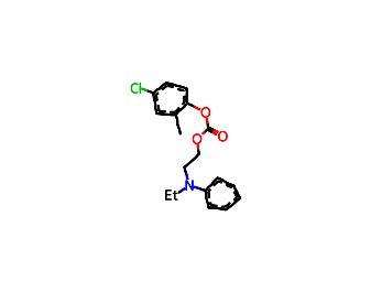 CCN(CCOC(=O)Oc1ccc(Cl)cc1C)c1ccccc1